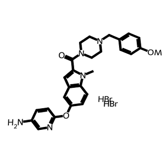 Br.Br.COc1ccc(CN2CCN(C(=O)c3cc4cc(Oc5ccc(N)cn5)ccc4n3C)CC2)cc1